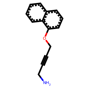 NCC#CCOc1cccc2ccccc12